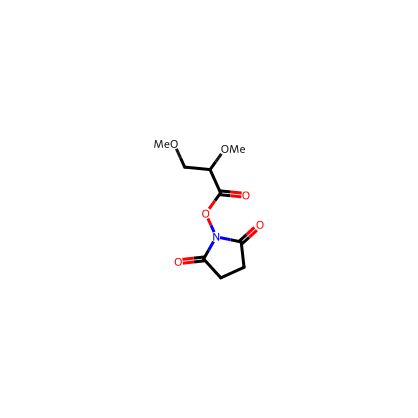 COCC(OC)C(=O)ON1C(=O)CCC1=O